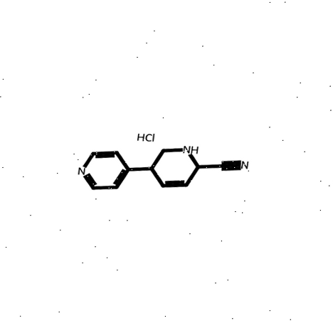 Cl.N#CC1C=CC(c2ccncc2)CN1